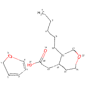 C1=CCOC=C1.CCCCCC1COCCC1CC(=O)O